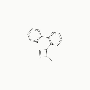 CC1C=CC1c1ccccc1-c1ccccn1